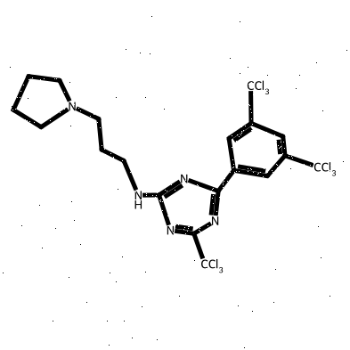 ClC(Cl)(Cl)c1cc(-c2nc(NCCCN3CCCC3)nc(C(Cl)(Cl)Cl)n2)cc(C(Cl)(Cl)Cl)c1